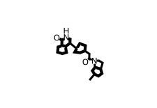 Cc1ccc2c(c1)N(C(=O)Cc1ccc(-c3c[nH]c(=O)c4ccccc34)cc1)CC2